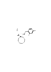 CCOC(=O)C1(NC(=O)Cc2ccc(C)cc2C)CCCCCCC1